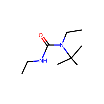 CCNC(=O)N(CC)C(C)(C)C